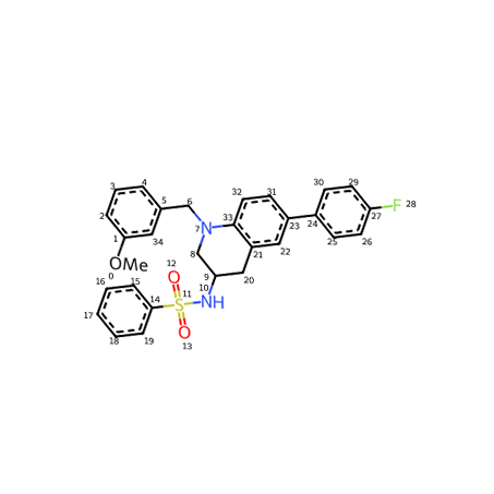 COc1cccc(CN2CC(NS(=O)(=O)c3ccccc3)Cc3cc(-c4ccc(F)cc4)ccc32)c1